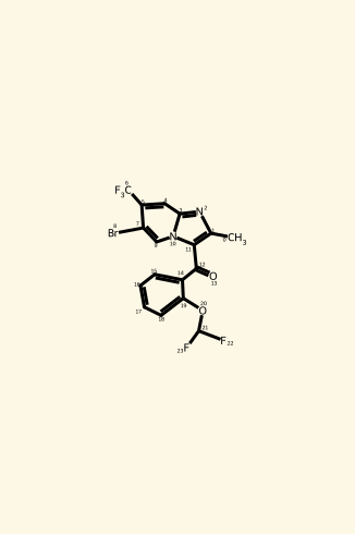 Cc1nc2cc(C(F)(F)F)c(Br)cn2c1C(=O)c1ccccc1OC(F)F